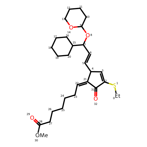 CCSC1=CC(C=CC(OC2CCCCO2)C2CCCCC2)C(=CCCCCCC(=O)OC)C1=O